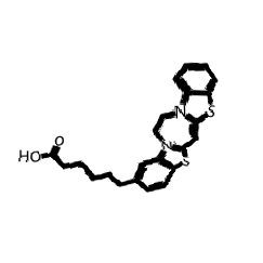 O=C(O)CCCCCc1ccc2sc3[n+](c2c1)CCN1C(=C3)Sc2ccccc21